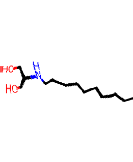 CCCCCCCCCCNC(CO)CO